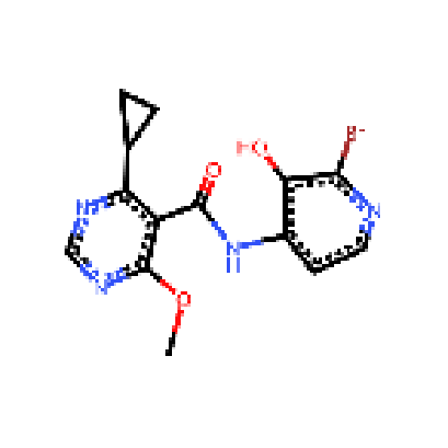 COc1ncnc(C2CC2)c1C(=O)Nc1ccnc(Br)c1O